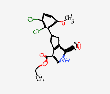 CCOC(=O)C1=CNC(=C=O)C2=C1CC(c1c(OC)ccc(Cl)c1Cl)C2